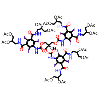 CC(=O)OCC(CNC(=O)c1c(I)c(NC(=O)OCC(C)(COC(=O)Nc2c(I)c(C(=O)NCC(COC(C)=O)OC(C)=O)c(I)c(C(=O)NCC(COC(C)=O)OC(C)=O)c2I)COC(=O)Nc2c(I)c(C(=O)NCC(COC(C)=O)OC(C)=O)c(I)c(C(=O)NCC(COC(C)=O)OC(C)=O)c2I)c(I)c(C(=O)NCC(COC(C)=O)OC(C)=O)c1I)OC(C)=O